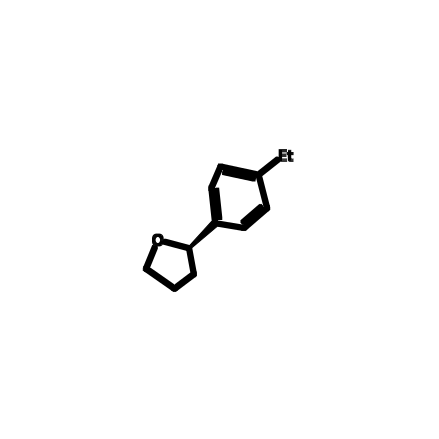 CCc1ccc([C@H]2CCCO2)cc1